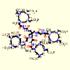 C[C@H](C(=O)NCC(=O)NCC(CNC(=O)CNC(=O)[C@@H](C)N1CCN(CC(=O)O)CCN(CC(=O)O)CCN(CC(=O)O)CC1)(CNC(=O)CNC(=O)[C@@H](C)N1CCN(CC(=O)O)CCN(CC(=O)O)CCN(CC(=O)O)CC1)CNC(=O)CNC(=O)[C@@H](C)N1CCN(CC(=O)O)CCN(CC(=O)O)CCN(CC(=O)O)CC1)N1CCN(CC(=O)O)CCN(CC(=O)O)CCN(CC(=O)O)CC1